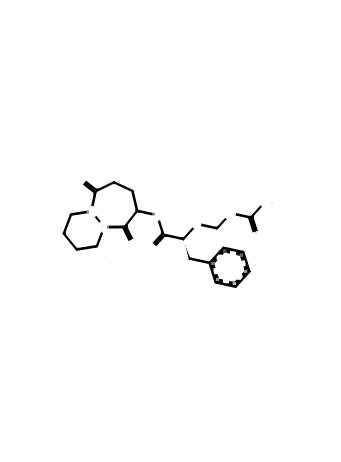 CC(C)(C)C(=O)OCS[C@@H](Cc1ccccc1)C(=O)NC1CCC(=O)N2CCC[C@@H](C(=O)O)N2C1=O